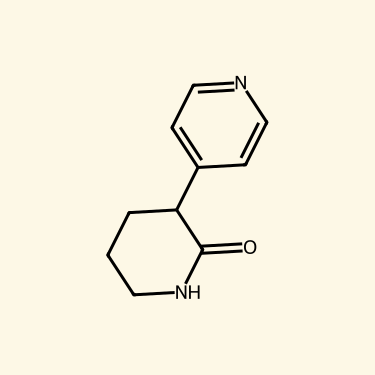 O=C1NCCCC1c1ccncc1